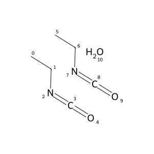 CCN=C=O.CCN=C=O.O